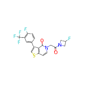 O=C(Cn1ccc2scc(-c3ccc(F)c(C(F)(F)F)c3)c2c1=O)N1CC(F)C1